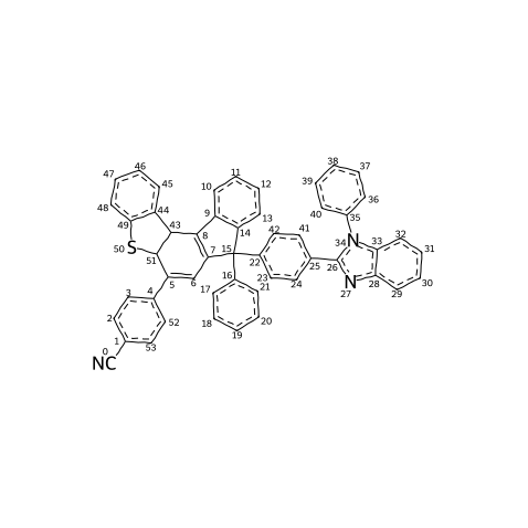 N#Cc1ccc(C2=CC3=C(c4ccccc4C3(c3ccccc3)c3ccc(-c4nc5ccccc5n4-c4ccccc4)cc3)C3c4ccccc4SC23)cc1